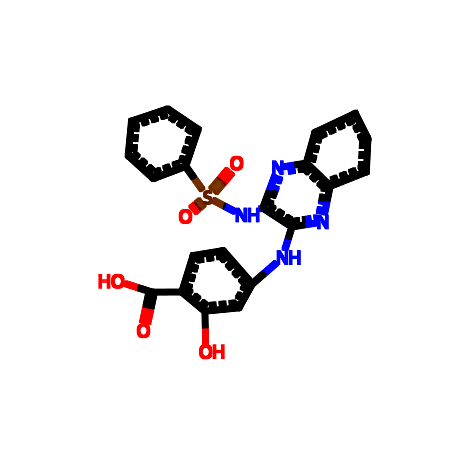 O=C(O)c1ccc(Nc2nc3ccccc3nc2NS(=O)(=O)c2ccccc2)cc1O